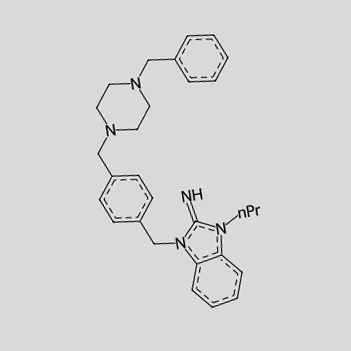 CCCn1c(=N)n(Cc2ccc(CN3CCN(Cc4ccccc4)CC3)cc2)c2ccccc21